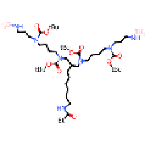 BNCCCN(CCCCN(CC(CCCCCCNC(=O)CC)CN(CCCCN(CCCNB)C(=O)OC(C)(C)C)C(=O)OC(C)(C)C)C(=O)OC(C)(C)C)C(=O)OC(C)(C)C